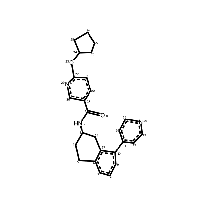 O=C(N[C@@H]1CCc2cccc(-c3ccncc3)c2C1)c1ccc(OC2CCCC2)nc1